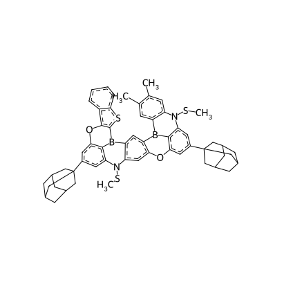 CSN1c2cc(C)c(C)cc2B2c3cc4c(cc3Oc3cc(C56CC7CC(CC(C7)C5)C6)cc1c32)N(SC)c1cc(C23CC5CC(CC(C5)C2)C3)cc2c1B4c1sc3ccccc3c1O2